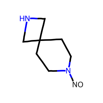 O=NN1CCC2(CC1)CNC2